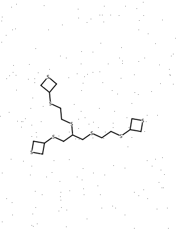 C(CSC1CSC1)SCC(CSC1CSC1)SCCSC1CSC1